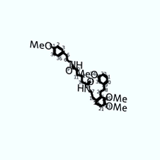 COc1ccc(CCNC(=O)CCCCC(=O)NCCc2ccc(OC)c(OC)c2CCc2cccc(OC)c2)cc1